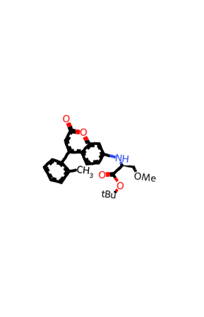 COC[C@H](Nc1ccc2c(-c3ccccc3C)cc(=O)oc2c1)C(=O)OC(C)(C)C